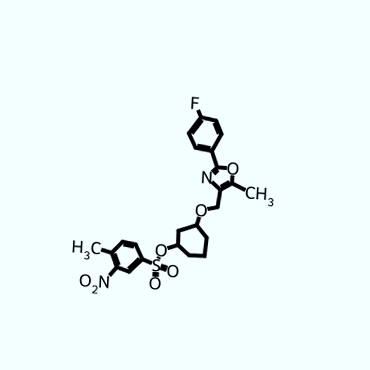 Cc1ccc(S(=O)(=O)OC2CCCC(OCc3nc(-c4ccc(F)cc4)oc3C)C2)cc1[N+](=O)[O-]